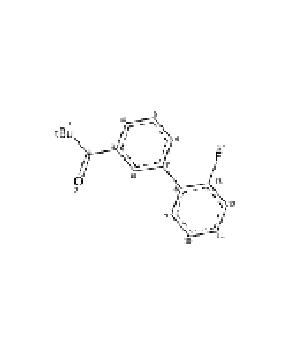 CC(C)(C)C(=O)c1cccc(-c2ccccc2F)c1